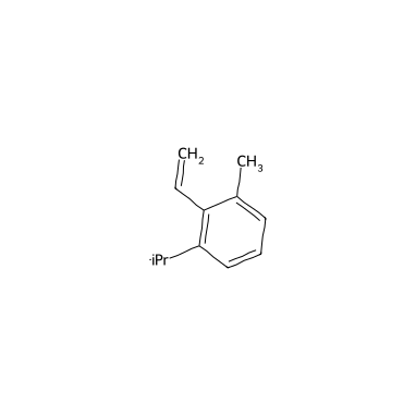 C=Cc1c(C)cccc1[C](C)C